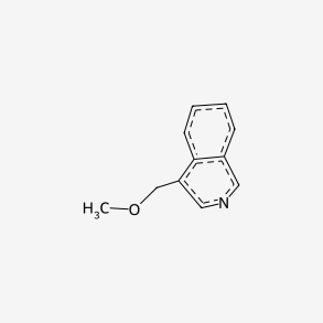 COCc1cncc2ccccc12